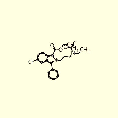 CCOC(=O)c1c2ccc(Cl)cc2c(-c2ccccc2)n1CCCN(CC)C(C)=O